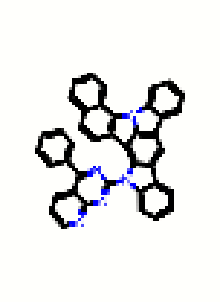 c1ccc(-c2nc(-n3c4ccccc4c4cc5c6ccccc6n6c7c8ccccc8ccc7c(c43)c56)nc3ncccc23)cc1